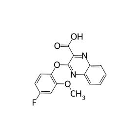 COc1cc(F)ccc1Oc1nc2ccccc2nc1C(=O)O